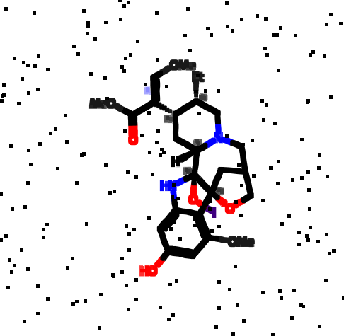 CC[C@@H]1CN2CC3CO[C@@]4(C3)c3c(cc(O)cc3OC)N[C@]4(OI)[C@@H]2C[C@@H]1/C(=C\OC)C(=O)OC